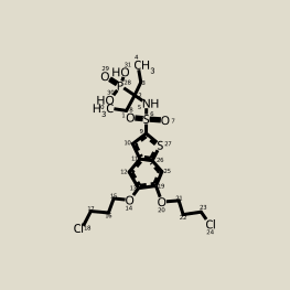 CCC(CC)(NS(=O)(=O)c1cc2cc(OCCCCl)c(OCCCCl)cc2s1)P(=O)(O)O